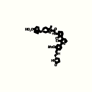 COc1cc(-c2nccc(-c3cccc(NC(=O)c4nc5c(n4C)CCN(CC46CCC(C(=O)O)(CC4)C6)C5)c3Cl)c2Cl)ccc1CNC[C@@H]1CCC(=O)N1